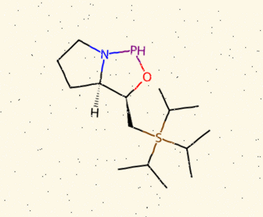 CC(C)S(C[C@@H]1OPN2CCC[C@H]12)(C(C)C)C(C)C